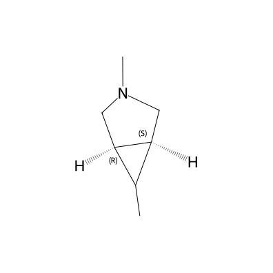 CC1[C@H]2CN(C)C[C@@H]12